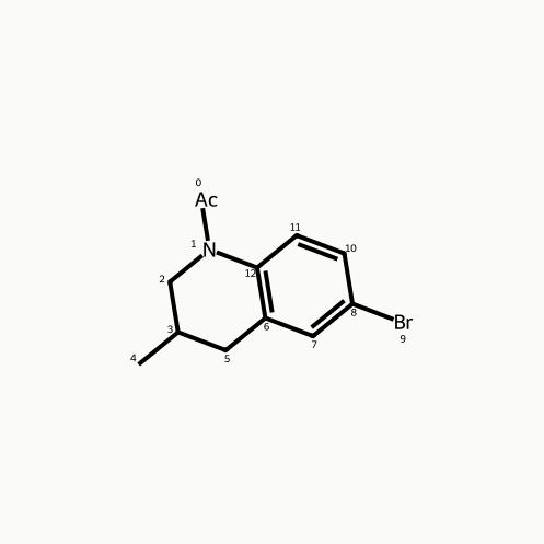 CC(=O)N1CC(C)Cc2cc(Br)ccc21